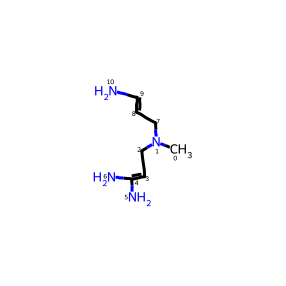 CN(CC=C(N)N)C/C=C/N